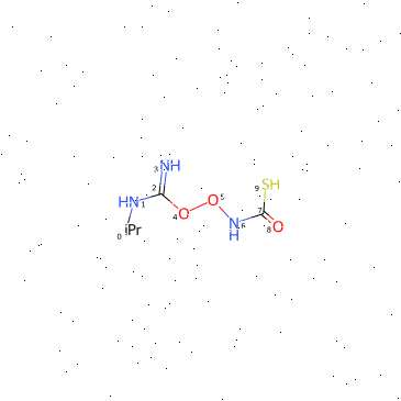 CC(C)NC(=N)OONC(=O)S